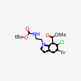 COC(=O)c1c(Cl)c(Br)cc2ccn(CCNC(=O)OC(C)(C)C)c12